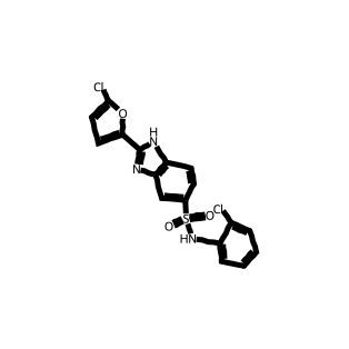 O=S(=O)(Nc1ccccc1Cl)c1ccc2[nH]c(-c3ccc(Cl)o3)nc2c1